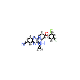 N#Cc1ccc2nc(N3CCC(Oc4ccc(Cl)cc4F)CC3)c(NC3CC3)nc2c1